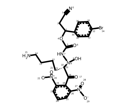 N#CCC(OC(=O)NN(O)[C@@H](CCCCN)C(=O)c1c([N+](=O)[O-])cccc1[N+](=O)[O-])c1ccc(Br)cc1